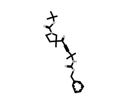 CC(C)(C#CC(=O)C1(C)CCN(C(=O)OC(C)(C)C)C1)NC(=O)OCc1ccccc1